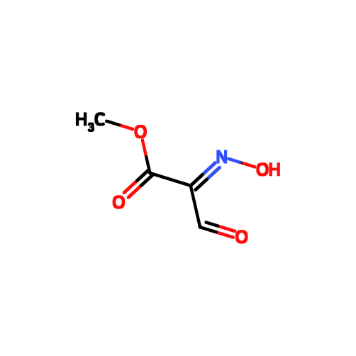 COC(=O)C(C=O)=NO